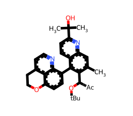 CC(=O)C(OC(C)(C)C)c1c(C)cc2nc(C(C)(C)O)ccc2c1-c1ccc2c3c(ccnc13)CCO2